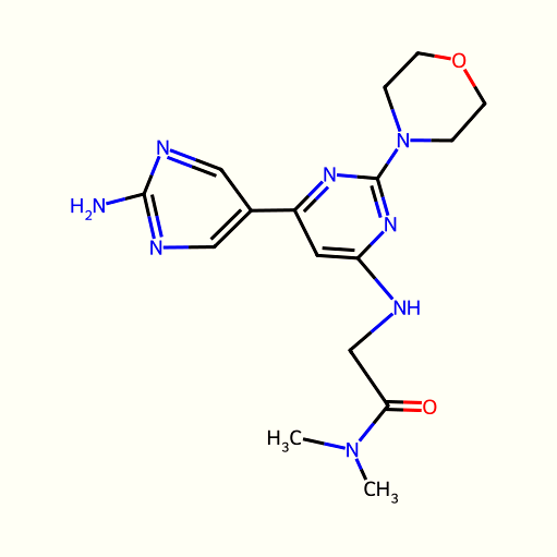 CN(C)C(=O)CNc1cc(-c2cnc(N)nc2)nc(N2CCOCC2)n1